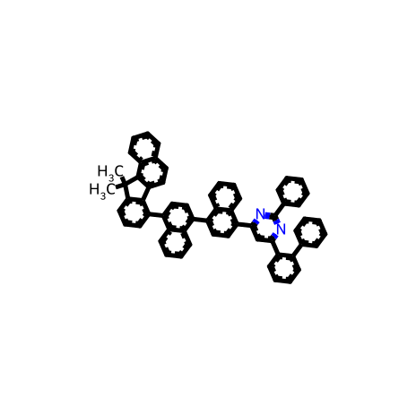 CC1(C)c2cccc(-c3ccc(-c4ccc(-c5cc(-c6ccccc6-c6ccccc6)nc(-c6ccccc6)n5)c5ccccc45)c4ccccc34)c2-c2ccc3ccccc3c21